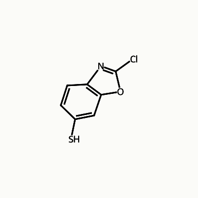 Sc1ccc2nc(Cl)oc2c1